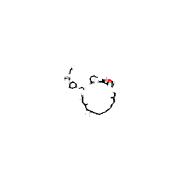 COCCOP(C)(=O)O[C@@H]1CC[C@@H](C[C@@H](C)[C@@H]2CC(=O)[C@H](C)/C=C(\C)[C@@H](O)[C@@H](OC)C(=O)[C@H](C)C[C@H](C)/C=C/C=C/C=C(\C)[C@@H](OC)CC3CC[C@@H](C)[C@@](O)(O3)C(=O)C(=O)N3CCCCC3C(=O)O2)C[C@H]1OC